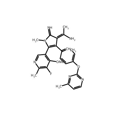 C=C(/C=C\C(=C/C)Oc1nccc(C)n1)C1=C(c2cnc(C)c(F)c2OC)N(C)C(=N)/C1=C(\C)N